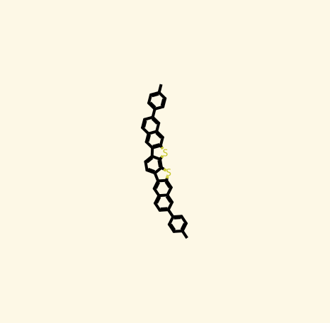 Cc1ccc(-c2ccc3cc4c(cc3c2)sc2c4ccc3c4cc5ccc(-c6ccc(C)cc6)cc5cc4sc32)cc1